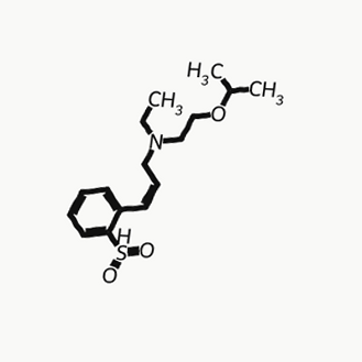 CCN(C/C=C\c1ccccc1[SH](=O)=O)CCOC(C)C